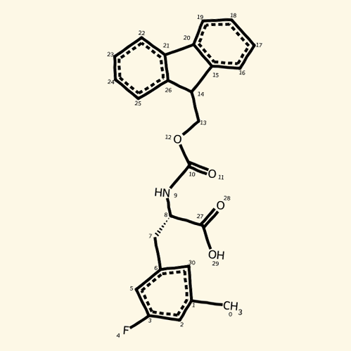 Cc1cc(F)cc(C[C@H](NC(=O)OCC2c3ccccc3-c3ccccc32)C(=O)O)c1